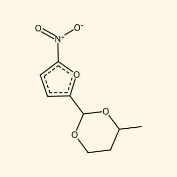 CC1CCOC(c2ccc([N+](=O)[O-])o2)O1